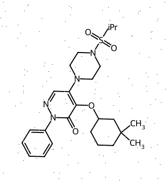 CC(C)S(=O)(=O)N1CCN(c2cnn(-c3ccccc3)c(=O)c2OC2CCCC(C)(C)C2)CC1